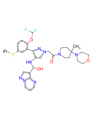 CC(C)Sc1ccc(OC(F)F)c(-c2nn(CC(=O)N3CCC(C)(N4CCOCC4)CC3)cc2NC(O)c2cnn3cccnc23)c1